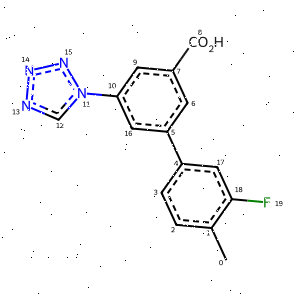 Cc1ccc(-c2cc(C(=O)O)cc(-n3cnnn3)c2)cc1F